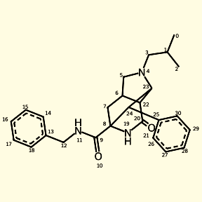 CC(C)CN1CC2CC3(C(=O)NCc4ccccc4)NC(=O)C2C1C3c1ccccc1